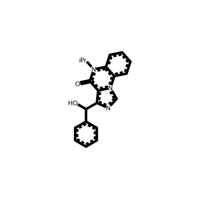 CC(C)n1c(=O)c2c(C(O)c3ccccc3)ncn2c2ccccc21